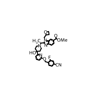 COC(=O)c1ccc2nc([C@H](C)N3CCC(O)(c4cccc(OCc5ccc(C#N)cc5F)n4)CC3)n(CC3CCO3)c2c1